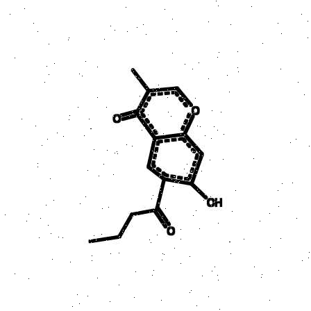 CCCC(=O)c1cc2c(=O)c(C)coc2cc1O